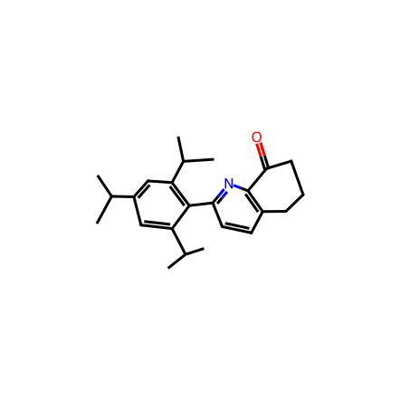 CC(C)c1cc(C(C)C)c(-c2ccc3c(n2)C(=O)CCC3)c(C(C)C)c1